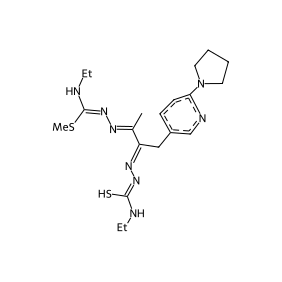 CCN/C(S)=N/N=C(Cc1ccc(N2CCCC2)nc1)/C(C)=N/N=C(/NCC)SC